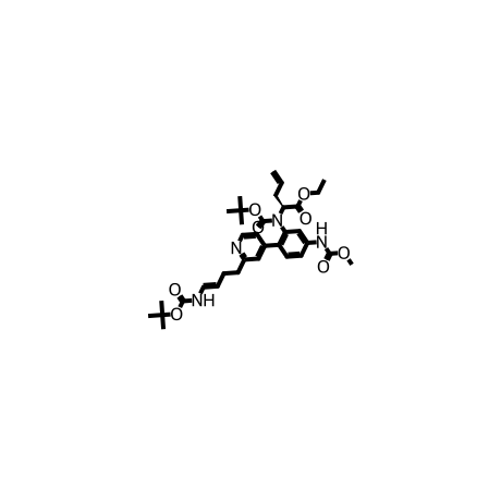 C=CC[C@@H](C(=O)OCC)N(C(=O)OC(C)(C)C)c1cc(NC(=O)OC)ccc1-c1ccnc(CCC=CNC(=O)OC(C)(C)C)c1